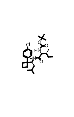 CC[C@H](C)[C@H](NC(=O)OC(C)(C)C)C(=O)N[C@@H](CC(C)C)C1(c2ccc(Cl)cc2)CCC1